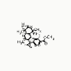 COC(=O)c1ccc(C2(c3cc4c(cc3C)C(C)(C)CCC4(C)C)CC2)cc1